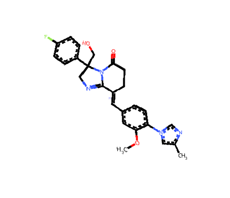 COc1cc(/C=C2\CCC(=O)N3C2=NCC3(CO)c2ccc(F)cc2)ccc1-n1cnc(C)c1